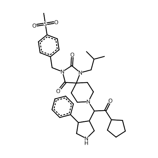 CC(C)CN1C(=O)N(Cc2ccc(S(C)(=O)=O)cc2)C(=O)C12CCN(C(C(=O)C1CCCC1)C1CNCC1c1ccccc1)CC2